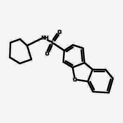 O=S(=O)(NC1CCCCC1)c1ccc2c(c1)oc1ccccc12